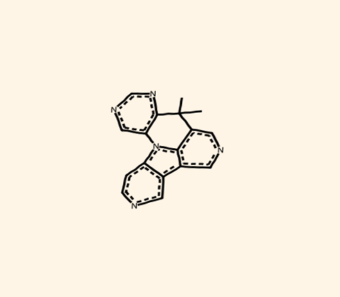 CC1(C)c2ncncc2-n2c3ccncc3c3cncc1c32